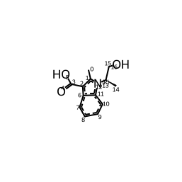 Cc1c(C(=O)O)c2ccccc2n1[C@H](C)CO